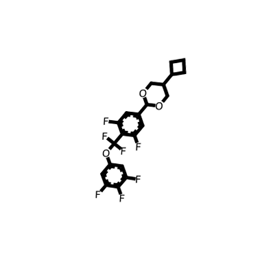 Fc1cc(OC(F)(F)c2c(F)cc(C3OCC(C4CCC4)CO3)cc2F)cc(F)c1F